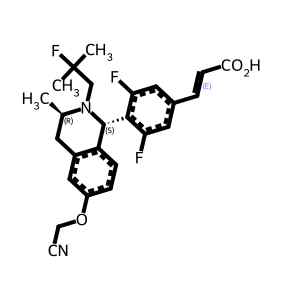 C[C@@H]1Cc2cc(OCC#N)ccc2[C@@H](c2c(F)cc(/C=C/C(=O)O)cc2F)N1CC(C)(C)F